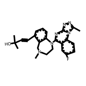 Cc1nnc2nc(N3CCN(C)Cc4c(C#CC(C)(C)O)cccc43)c3cc(F)ccc3n12